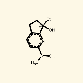 CC[C@]1(O)CCc2ccc(N(C)C)nc21